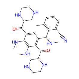 CNc1c(C(=O)C2CNCCN2)cc(C(NC)c2c(C)cccc2C#N)c(C(=O)C2CNCCN2)c1NC